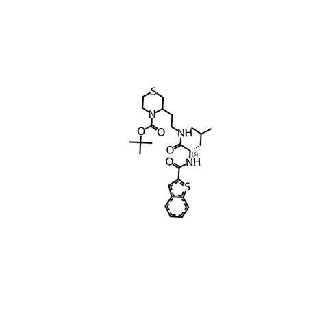 CC(C)C[C@H](NC(=O)c1cc2ccccc2s1)C(=O)NCCC1CSCCN1C(=O)OC(C)(C)C